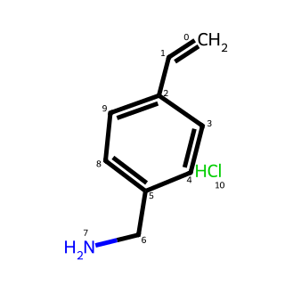 C=Cc1ccc(CN)cc1.Cl